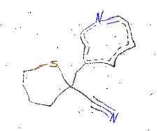 N#CC1(c2cccnc2)CCCS1